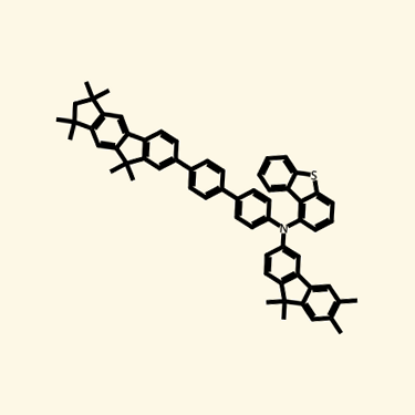 Cc1cc2c(cc1C)C(C)(C)c1ccc(N(c3ccc(-c4ccc(-c5ccc6c(c5)C(C)(C)c5cc7c(cc5-6)C(C)(C)CC7(C)C)cc4)cc3)c3cccc4sc5ccccc5c34)cc1-2